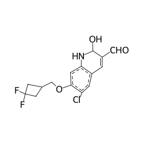 O=CC1=Cc2cc(Cl)c(OCC3CC(F)(F)C3)cc2NC1O